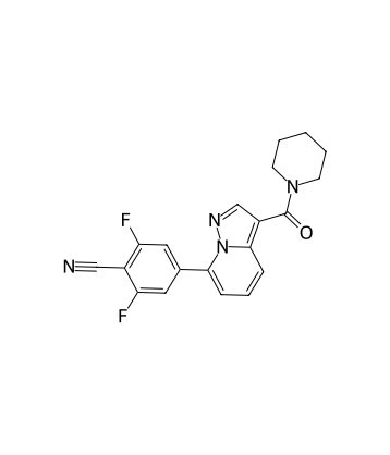 N#Cc1c(F)cc(-c2cccc3c(C(=O)N4CCCCC4)cnn23)cc1F